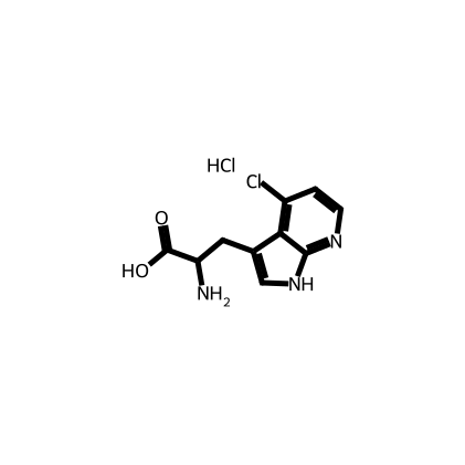 Cl.NC(Cc1c[nH]c2nccc(Cl)c12)C(=O)O